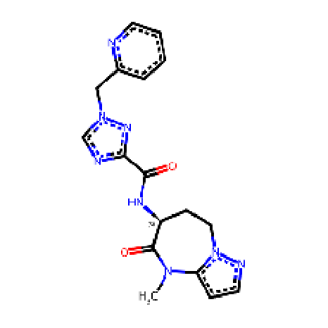 CN1C(=O)[C@@H](NC(=O)c2ncn(Cc3ccccn3)n2)CCn2nccc21